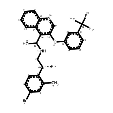 Cc1cc(Br)ccc1[C@@H](F)CNC(O)c1c(Oc2cccc(C(F)(F)F)c2)cnc2ccccc12